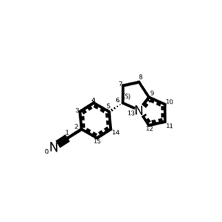 N#Cc1ccc([C@@H]2CCc3cccn32)cc1